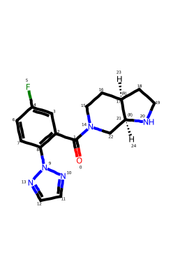 O=C(c1cc(F)ccc1-n1nccn1)N1CC[C@H]2CCN[C@H]2C1